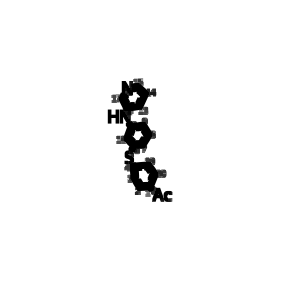 CC(=O)c1ccc(Sc2cccc(Nc3cccnc3)c2)cc1